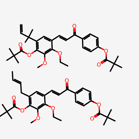 C=CC(C)(C)c1cc(C=CC(=O)c2ccc(OC(=O)C(C)(C)C)cc2)c(OCC)c(OC)c1OC(=O)C(C)(C)C.CC=CCc1cc(C=CC(=O)c2ccc(OC(=O)C(C)(C)C)cc2)c(OCC)c(OC)c1OC(=O)C(C)(C)C